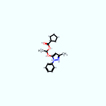 Cc1cc(OC(C)OC(=O)C2CCCC2)n(-c2ccccc2)n1